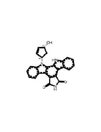 O=C1NC(=O)c2c1c1c3ccccc3[nH]c1c1c2c2ccccc2n1[C@@H]1C=C[C@H](O)C1